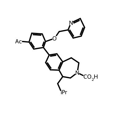 CC(=O)c1ccc(OCc2ccccn2)c(-c2ccc3c(c2)CCN(C(=O)O)CC3CC(C)C)c1